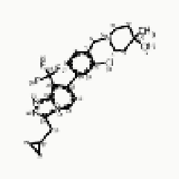 CC1(O)CCN(Cc2ccc(-c3ccn4c(CC5CC5)nnc4c3C(F)(F)F)cc2Cl)CC1